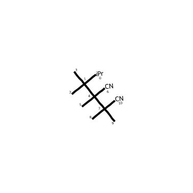 CC(C)C(C)(C)C(C)(C#N)C(C)(C)C#N